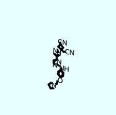 N#CCC1(n2cc(-c3ccnc(Nc4ccc(OCCN5CCCC5)cc4)n3)cn2)CC(C#N)C1